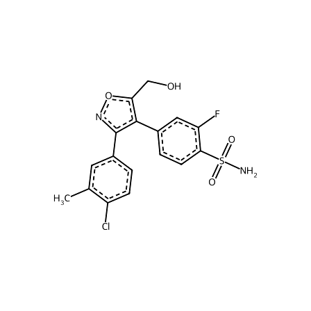 Cc1cc(-c2noc(CO)c2-c2ccc(S(N)(=O)=O)c(F)c2)ccc1Cl